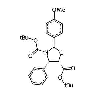 COc1ccc(C2O[C@H](C(=O)OC(C)(C)C)[C@H](c3ccccc3)N2C(=O)OC(C)(C)C)cc1